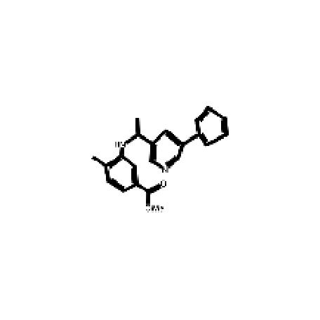 COC(=O)c1ccc(C)c(NC(C)c2cncc(-c3ccccc3)c2)c1